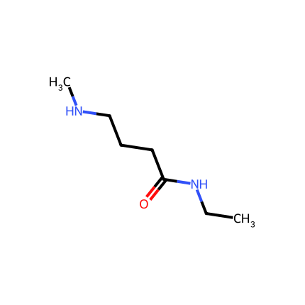 CCNC(=O)CCCNC